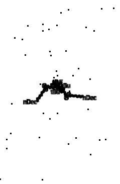 CCCCCCCCCCCCCCCCCCOC(=O)CCc1cc(C(C)(C)C)c(OP(OF)Oc2c(C(C)(C)C)cc(CCC(=O)OCCCCCCCCCCCCCCCCCC)cc2C(C)(C)C)c(C(C)(C)C)c1